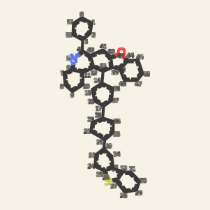 c1ccc(-c2nc3ccccc3c3c(-c4ccc(-c5ccc(-c6ccc7sc8ccccc8c7c6)cc5)cc4)c4c(cc23)oc2ccccc24)cc1